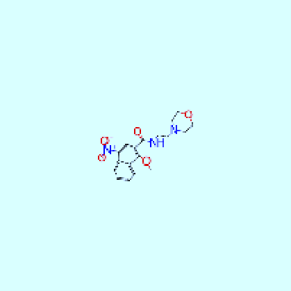 COc1c(C(=O)NCCN2CCOCC2)cc([N+](=O)[O-])c2ccccc12